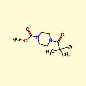 CC(C)C(C)(C)C(=O)N1CCN(C(=O)OC(C)(C)C)CC1